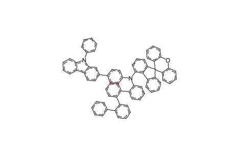 c1ccc(-c2ccccc2-c2ccccc2-c2ccccc2N(c2ccc(-c3ccc4c5ccccc5n(-c5ccccc5)c4c3)cc2)c2cccc3c2-c2ccccc2C32c3ccccc3Oc3ccccc32)cc1